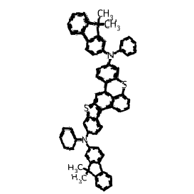 CC1(C)c2ccccc2-c2ccc(N(C3=CC=CCC3)c3ccc4c(c3)sc3cc5c6c(cccc6c34)Sc3cc(N(c4ccccc4)c4ccc6c(c4)C(C)(C)c4ccccc4-6)ccc3-5)cc21